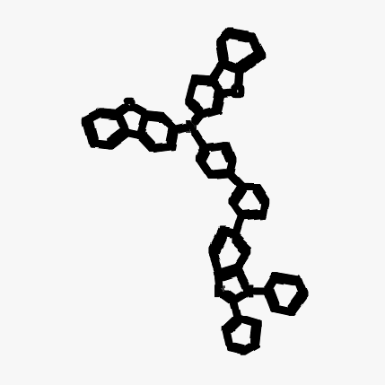 c1ccc(-c2nc3ccc(-c4cccc(-c5ccc(N(c6ccc7c(c6)oc6ccccc67)c6ccc7c(c6)oc6ccccc67)cc5)c4)cc3n2-c2ccccc2)cc1